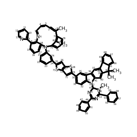 C\C1=C/C=C\C=N\c2c(-c3ccccn3)cccc2N(c2cccc(-c3cc4sc(-c5ccc6c(c5)c5cc7c(cc5n6C5N=C(c6ccccc6)N=C(c6ccccc6)N5C)C(C)(C)c5ccccc5-7)cc4s3)c2)c2cccc1c2C